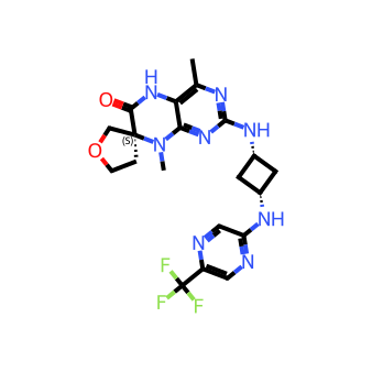 Cc1nc(N[C@H]2C[C@@H](Nc3cnc(C(F)(F)F)cn3)C2)nc2c1NC(=O)[C@@]1(CCOC1)N2C